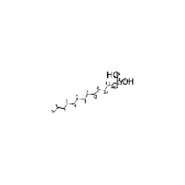 CCCCCCCCCCCCOP(O)O